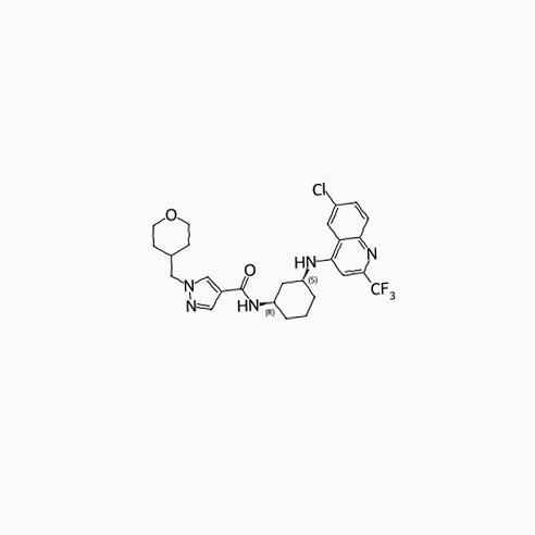 O=C(N[C@@H]1CCC[C@H](Nc2cc(C(F)(F)F)nc3ccc(Cl)cc23)C1)c1cnn(CC2CCOCC2)c1